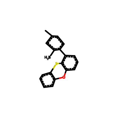 Bc1cc(C)ccc1-c1cccc2c1Sc1ccccc1O2